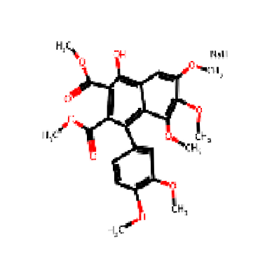 COC(=O)c1c(C(=O)OC)c(-c2ccc(OC)c(OC)c2)c2c(OC)c(OC)c(OC)cc2c1O.[NaH]